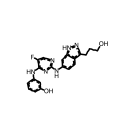 OCCCc1n[nH]c2cc(Nc3ncc(F)c(Nc4cccc(O)c4)n3)ccc12